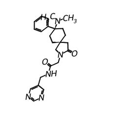 CN(C)[C@]1(c2ccccc2)CC[C@@]2(CC1)CC(=O)N(CC(=O)NCc1cncnc1)C2